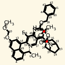 CCc1cccc2cc(OCOC)cc(-c3ncc4c(N5CC6CCC(C5)N6C(=O)OC(C)(C)C)nc(OCc5ccccc5)nc4c3F)c12